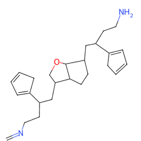 C=NCCC(CC1COC2C(CC(CCN)C3=CC=CC3)CCC12)C1=CC=CC1